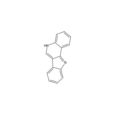 c1ccc2c3c[nH]c4ccccc4c-3nc2c1